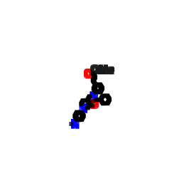 COC(=O)/C=C/c1cccc(N(CC2CCN(c3ccc(N(C)C)cc3)CC2(C)C)C(=O)C2CCCCC2)c1